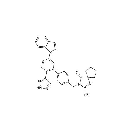 CCCCC1=NC2(CCCC2)C(=O)N1Cc1ccc(-c2cc(-n3ccc4ccccc43)ccc2-c2nn[nH]n2)cc1